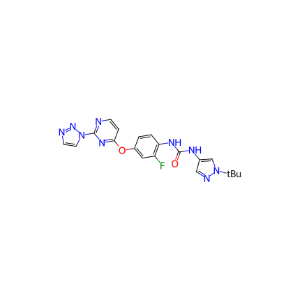 CC(C)(C)n1cc(NC(=O)Nc2ccc(Oc3ccnc(-n4ccnn4)n3)cc2F)cn1